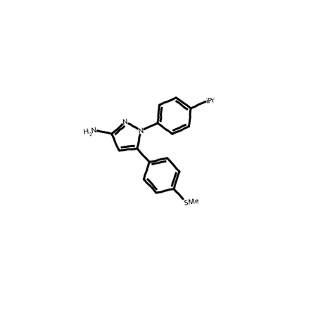 CSc1ccc(-c2cc(N)nn2-c2ccc(C(C)C)cc2)cc1